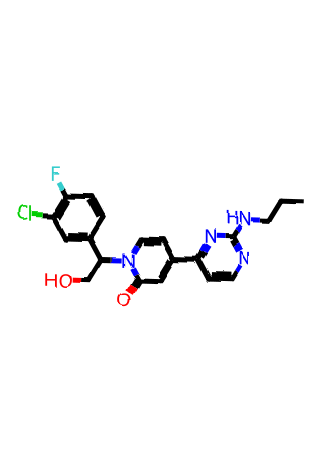 CCCNc1nccc(-c2ccn(C(CO)c3ccc(F)c(Cl)c3)c(=O)c2)n1